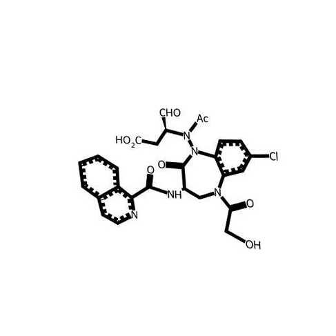 CC(=O)N([C@H](C=O)CC(=O)O)N1C(=O)[C@@H](NC(=O)c2nccc3ccccc23)CN(C(=O)CO)c2cc(Cl)ccc21